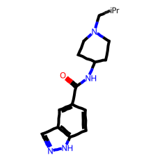 CC(C)CN1CCC(NC(=O)c2ccc3[nH]ncc3c2)CC1